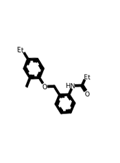 CCC(=O)Nc1ccccc1COc1ccc(CC)cc1C